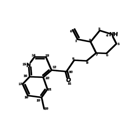 C=CC1CNCCC1CCC(=O)c1ccnc2ccc(C)cc12